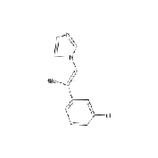 CC(C)(C)/C(=C\n1ccnc1)c1cccc(Cl)c1